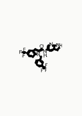 O=C(Nc1cnc2[nH]ccc2c1)c1cc2cc(C(F)(F)F)ccc2n1Cc1cccc(C(F)(F)F)c1